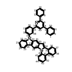 c1ccc(-c2cc(-c3ccccc3)nc(-c3cccc(-n4c5ccccc5c5cc6c(cc54)cc4c5ccccc5c5ccccc5n64)c3)c2)cc1